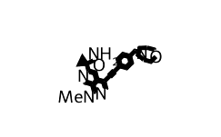 CNc1ncc(C#Cc2ccc(CN3C4CCC3COC4)cc2)c2cc(C3(C(N)=O)CC3)ncc12